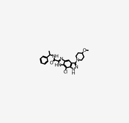 COC1CCN(c2n[nH]c3c(Cl)c4[nH]c(C(=O)NC(C)c5ccccc5)nc4cc23)CC1